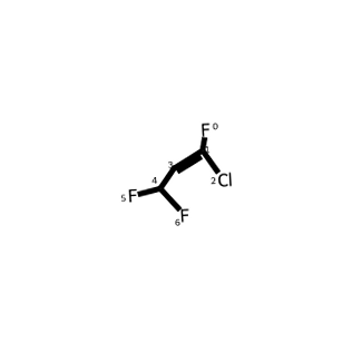 FC(Cl)=CC(F)F